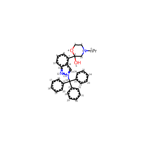 CCCN1CCOC(O)(c2cccc3nn(C(c4ccccc4)(c4ccccc4)c4ccccc4)cc23)C1